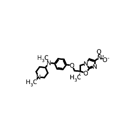 CN1CCC(N(C)c2ccc(OC[C@@]3(C)Cn4cc([N+](=O)[O-])nc4O3)cc2)CC1